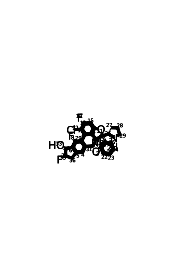 NC(=O)c1cc2c(c(F)c1-c1c(Cl)c(F)cc3c1C[C@](c1ccccc1)([C@@H]1CCCN1)O3)[C@@H](O)[C@H](F)C2